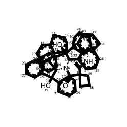 NC(=O)C1(C(=O)N([C@@H](c2cccc3ccccc23)C(O)(c2ccccc2)c2ccccc2)[C@@H](c2cccc3ccccc23)C(O)(c2ccccc2)c2ccccc2)CCC1